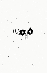 Cc1cccc(Nc2ccc(N)c(C)c2)c1